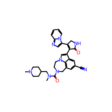 CN1CCC(CN(C)C(=O)N2CCn3cc(C4=C(c5cnc6ccccn56)CNC4=O)c4cc(C#N)cc(c43)C2)CC1